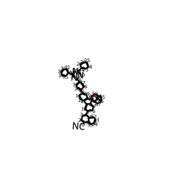 N#Cc1ccc(-c2ccc3c(c2)-c2ccc(-c4ccc(-c5nc(-c6ccccc6)nc(-c6ccccc6)n5)cc4)cc2C32C3CC4CC(C3)CC2C4)c2ccccc12